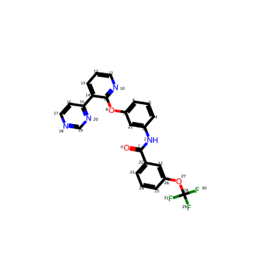 O=C(Nc1cccc(Oc2ncccc2-c2ccncn2)c1)c1cccc(OC(F)(F)F)c1